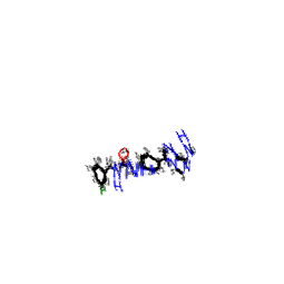 CNc1nccn2c(-c3ccc(NC(=O)NCc4cccc(F)c4)cc3)cnc12